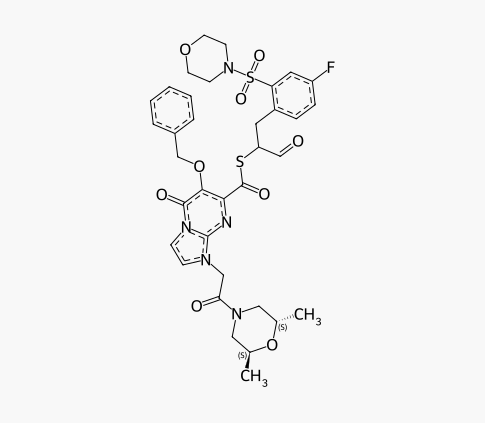 C[C@H]1CN(C(=O)Cn2ccn3c(=O)c(OCc4ccccc4)c(C(=O)SC(C=O)Cc4ccc(F)cc4S(=O)(=O)N4CCOCC4)nc23)C[C@H](C)O1